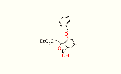 CCOC(=O)CC1OB(O)c2cc(C)cc(OCc3ccccc3)c21